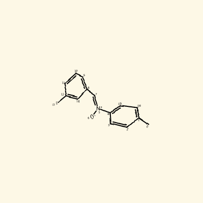 Cc1ccc([N+]([O-])=Cc2cccc(F)c2)cc1